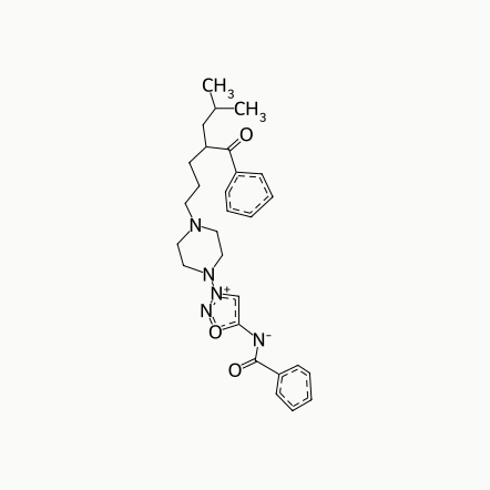 CC(C)CC(CCCN1CCN([n+]2cc([N-]C(=O)c3ccccc3)on2)CC1)C(=O)c1ccccc1